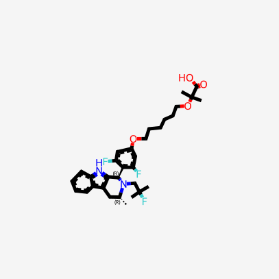 C[C@@H]1Cc2c([nH]c3ccccc23)[C@@H](c2c(F)cc(OCCCCCCOC(C)(C)C(=O)O)cc2F)N1CC(C)(C)F